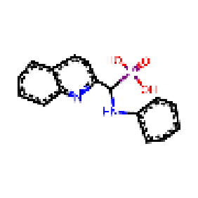 O=P(O)(O)C(Nc1ccccc1)c1ccc2ccccc2n1